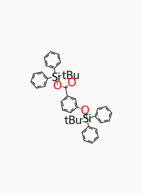 CC(C)(C)[Si](OC(=O)c1cccc(O[Si](c2ccccc2)(c2ccccc2)C(C)(C)C)c1)(c1ccccc1)c1ccccc1